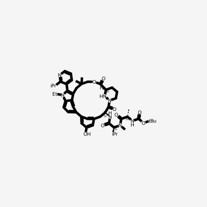 CCn1c(-c2cccnc2C(C)C)c2c3cc(ccc31)-c1cc(O)cc(c1)C[C@H](NC(=O)[C@H](C(C)C)N(C)C(=O)[C@H](C)NC(=O)OC(C)(C)C)C(=O)N1CCC[C@H](N1)C(=O)OCC(C)(C)C2